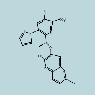 C[C@H](Oc1cc2cc(F)ccc2nc1N)c1nc(C(=O)O)c(F)cc1-n1cccn1